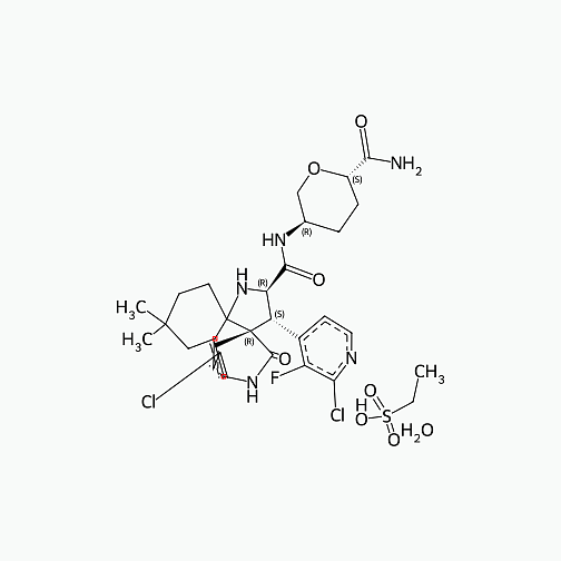 CC1(C)CCC2(CC1)N[C@@H](C(=O)N[C@@H]1CC[C@@H](C(N)=O)OC1)[C@H](c1ccnc(Cl)c1F)[C@]21C(=O)Nc2cc(Cl)ccc21.CCS(=O)(=O)O.O